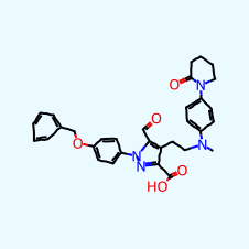 CN(CCc1c(C(=O)O)nn(-c2ccc(OCc3ccccc3)cc2)c1C=O)c1ccc(N2CCCCC2=O)cc1